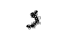 Cc1c(-c2cc3cc(NC(=O)O[C@@H]4[C@@H]5CN(C(=O)OC(C)(C)C)C[C@@H]54)ncc3c(Cl)c2F)cnc2c1N(C(=O)OC(C)(C)C)CCO2